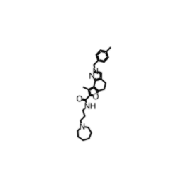 Cc1ccc(Cn2cc3c(n2)-c2c(oc(C(=O)NCCCN4CCCCCC4)c2C)CC3)cc1